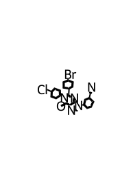 N#Cc1cccc(-n2cnc3c(=O)n(-c4ccc(Cl)cc4)c(-c4ccc(Br)cc4)nc32)c1